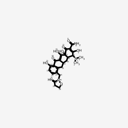 CN(C)C1C(O)=C(C(N)=O)C(=O)C2(O)C(O)=C3C(=O)c4c(O)ccc(CN5OCCC5=N)c4CC3CC12